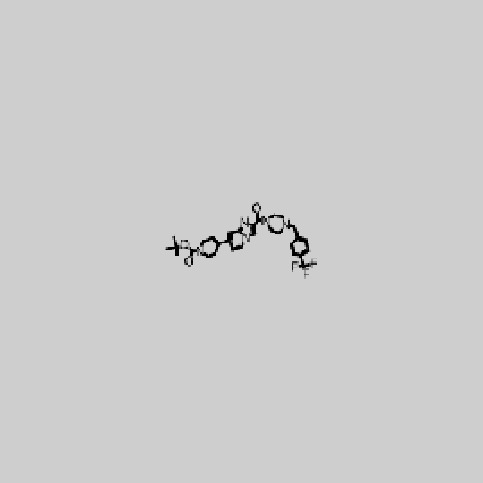 CC(C)(C)OC(=O)N1CC=C(c2ccn3cc(C(=O)N4CCN(Cc5ccc(C(F)(F)F)cc5)CC4)nc3c2)CC1